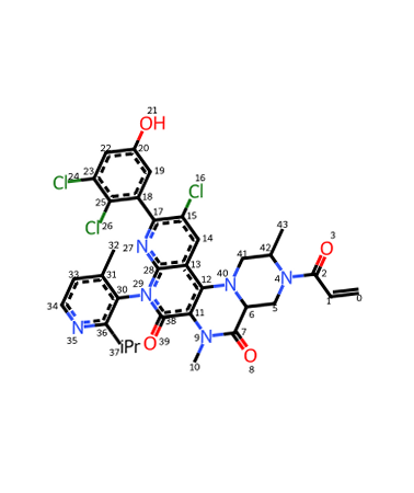 C=CC(=O)N1CC2C(=O)N(C)c3c(c4cc(Cl)c(-c5cc(O)cc(Cl)c5Cl)nc4n(-c4c(C)ccnc4C(C)C)c3=O)N2CC1C